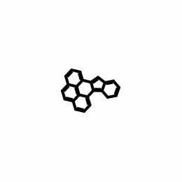 C1=CCC2=c3c(c4cccc5ccc6cccc3c6c54)=CC2=C1